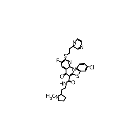 CN1CCCC1CCNC(=O)c1c(=O)c2cc(F)c(SCCc3cnccn3)nc2n2c1sc1cc(Cl)ccc12